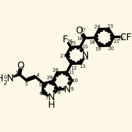 NC(=O)/C=C/c1c[nH]c2ncc(-c3cnc(C(=O)c4ccc(C(F)(F)F)cc4)c(F)c3)cc12